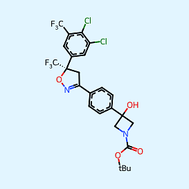 CC(C)(C)OC(=O)N1CC(O)(c2ccc(C3=NO[C@](c4cc(Cl)c(Cl)c(C(F)(F)F)c4)(C(F)(F)F)C3)cc2)C1